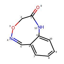 O=C1CON=Cc2ccccc2N1